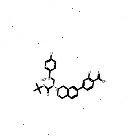 CC(C)(C)OC(=O)N(C[C@H](O)c1ccc(Cl)cc1)[C@H]1CCc2ccc(-c3ccc(C(=O)O)c(Cl)c3)cc2C1